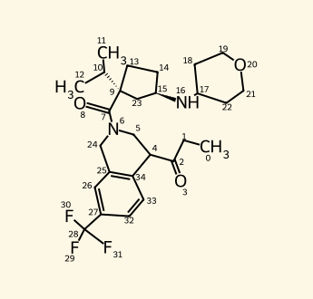 CCC(=O)C1CN(C(=O)[C@@]2(C(C)C)CC[C@@H](NC3CCOCC3)C2)Cc2cc(C(F)(F)F)ccc21